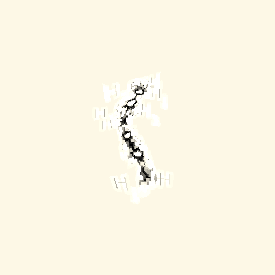 Cc1cc(-c2cc(C)c(OCC(O)COc3ccc(S(=O)(=O)c4ccc(OCC(C)O)cc4)cc3)c(C)c2)cc(C)c1O